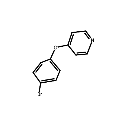 Brc1ccc(Oc2ccncc2)cc1